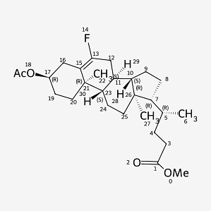 COC(=O)CC[C@@H](C)[C@H]1CC[C@H]2[C@@H]3CC(F)=C4C[C@H](OC(C)=O)CC[C@]4(C)[C@H]3CC[C@]12C